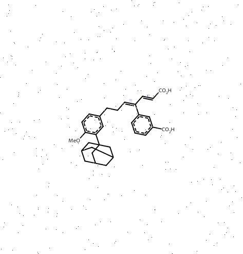 COc1ccc(CC/C=C(/C=C/C(=O)O)c2cccc(C(=O)O)c2)cc1C12CC3CC(CC(C3)C1)C2